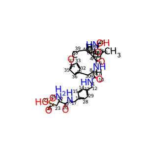 CC(C)C[C@H]1C(=O)N[C@H](C(=O)NCc2ccc(CNC(=O)C(N)CS(=O)(=O)O)cc2)Cc2ccc(cc2)OCCC[C@@H]1C(=O)NO